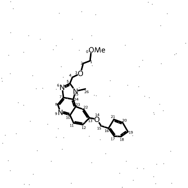 COCCOCc1nc2cnc3ccc(OCc4ccccc4)cc3c2n1C